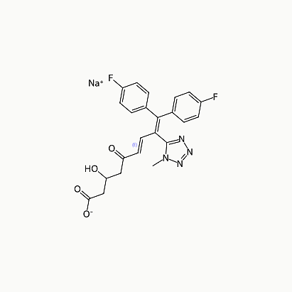 Cn1nnnc1C(/C=C/C(=O)CC(O)CC(=O)[O-])=C(c1ccc(F)cc1)c1ccc(F)cc1.[Na+]